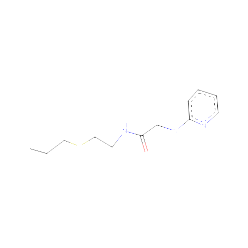 CCCSCCNC(=O)CNc1ccccn1